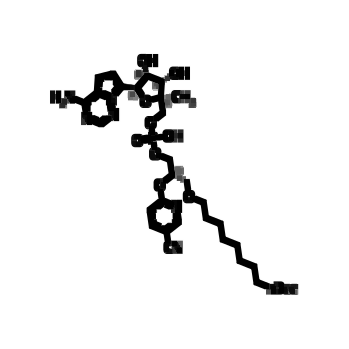 CCCCCCCCCCCCCCCCCCOC[C@@H](COP(=O)(O)OC[C@@]1(C)O[C@@H](c2ccc3c(N)ncnn23)[C@H](O)[C@@H]1O)Oc1ccc(C#N)cn1